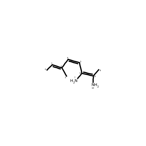 C/C=C(C)/C=C\C(N)=C(/C)N